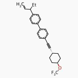 C=CC(CC)c1ccc(-c2ccc(C#C[C@H]3CC[C@H](OC(F)(F)F)CC3)cc2)cc1